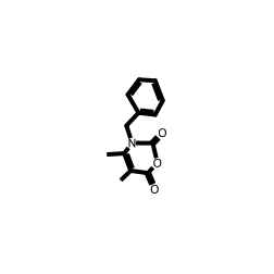 Cc1c(C)n(Cc2ccccc2)c(=O)oc1=O